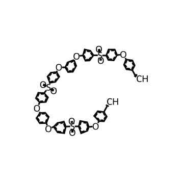 C#Cc1ccc(Oc2ccc(S(=O)(=O)c3ccc(Oc4ccc(Oc5ccc(S(=O)(=O)c6ccc(Oc7cccc(Oc8ccc(S(=O)(=O)c9ccc(Oc%10ccc(C#C)cc%10)cc9)cc8)c7)cc6)cc5)cc4)cc3)cc2)cc1